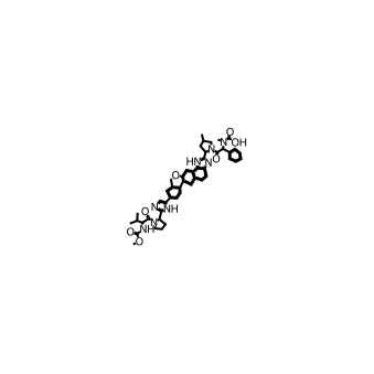 COC(=O)NC(C(=O)N1CCCC1c1ncc(-c2ccc3c(c2)COc2cc4c(ccc5nc(C6CC(C)CN6C(=O)C(c6ccccc6)N(C)C(=O)O)[nH]c54)cc2-3)[nH]1)C(C)C